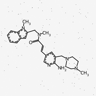 CN1CCN(Cc2cc(C=CC(=O)N(C)Cc3cc4ccccc4n3C)cnc2N)CC1